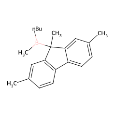 CCCCB(C)C1(C)c2cc(C)ccc2-c2ccc(C)cc21